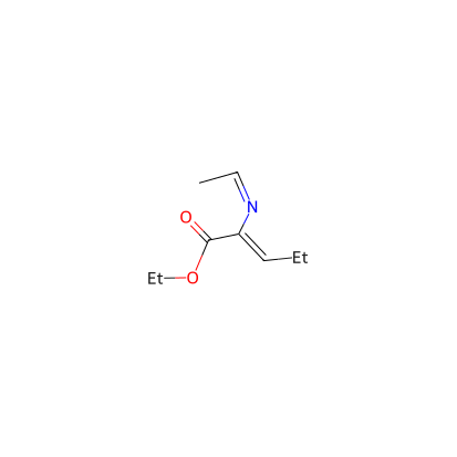 C/C=N\C(=C/CC)C(=O)OCC